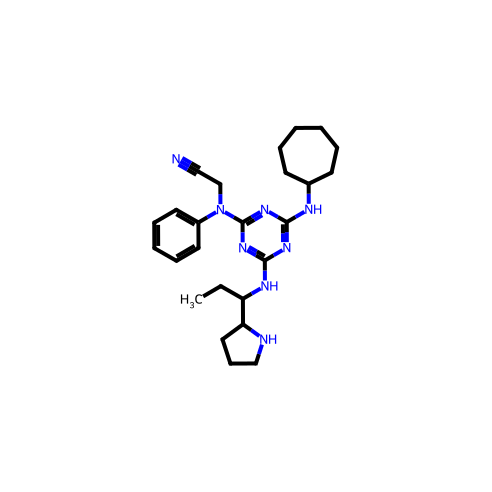 CCC(Nc1nc(NC2CCCCCC2)nc(N(CC#N)c2ccccc2)n1)C1CCCN1